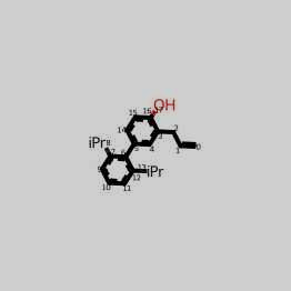 C=CCc1cc(-c2c(C(C)C)cccc2C(C)C)ccc1O